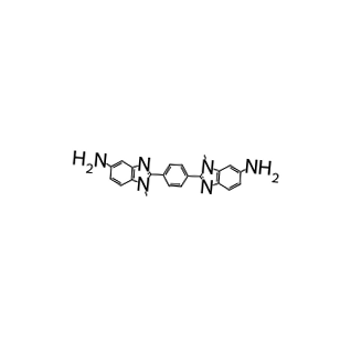 Cn1c(-c2ccc(-c3nc4ccc(N)cc4n3C)cc2)nc2cc(N)ccc21